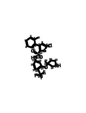 Cc1ccccc1-c1cc(Cl)sc1S(=O)(=O)Nc1ccc(C(F)(F)F)c(O[C@]2(C)CCNC2)c1